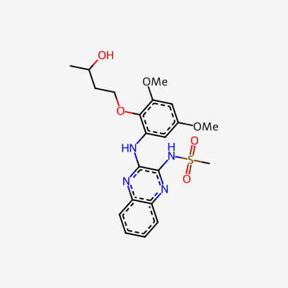 COc1cc(Nc2nc3ccccc3nc2NS(C)(=O)=O)c(OCCC(C)O)c(OC)c1